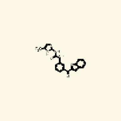 C[C@@H](C(=O)NC1NC(C(F)(F)F)=CS1)c1cccc(C(=O)c2cc3ccccc3o2)c1